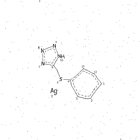 [Ag].c1ccc(Sc2nnn[nH]2)cc1